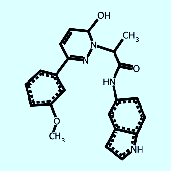 COc1cccc(C2=NN(C(C)C(=O)Nc3ccc4[nH]ccc4c3)C(O)C=C2)c1